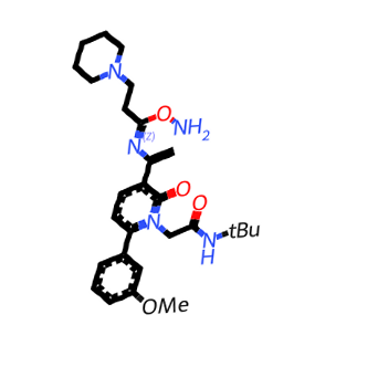 C=C(/N=C(/CCN1CCCCC1)ON)c1ccc(-c2cccc(OC)c2)n(CC(=O)NC(C)(C)C)c1=O